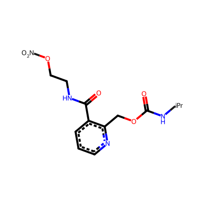 CC(C)NC(=O)OCc1ncccc1C(=O)NCCO[N+](=O)[O-]